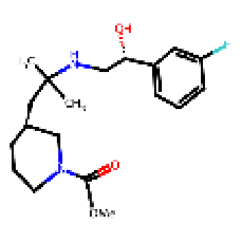 COC(=O)N1CCC[C@@H](CC(C)(C)NC[C@H](O)c2cccc(F)c2)C1